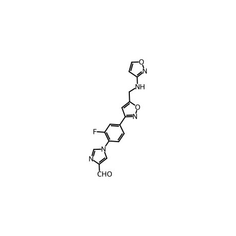 O=Cc1cn(-c2ccc(-c3cc(CNc4ccon4)on3)cc2F)cn1